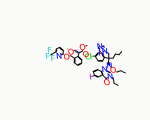 CCCCC(C#N)(Cn1cncn1)c1ccc(Cl)cc1.CCCOc1nc2ccc(I)cc2c(=O)n1CCC.CO/C=C(/C(=O)OC)c1ccccc1COc1cccc(C(F)(F)F)n1